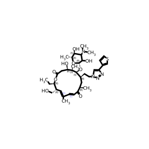 CC[C@H]1OC(=O)C[C@@H](O)[C@H](C)[C@@H](O[C@@H]2O[C@H](C)[C@@H](O)C(N(C)C)C2O)[C@@H](CCn2cc(-c3ccsc3)nn2)C[C@@H](C)C(=O)/C=C/C(C)=C/[C@@H]1CO